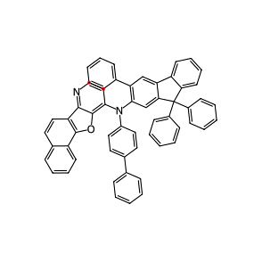 c1ccc(-c2ccc(N(c3cc4c(cc3-c3ccccc3)-c3ccccc3C4(c3ccccc3)c3ccccc3)c3ccnc4c3oc3c5ccccc5ccc43)cc2)cc1